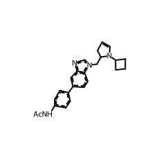 CC(=O)Nc1ccc(-c2ccc3c(c2)ncn3CC2CC=CN2C2CCC2)cc1